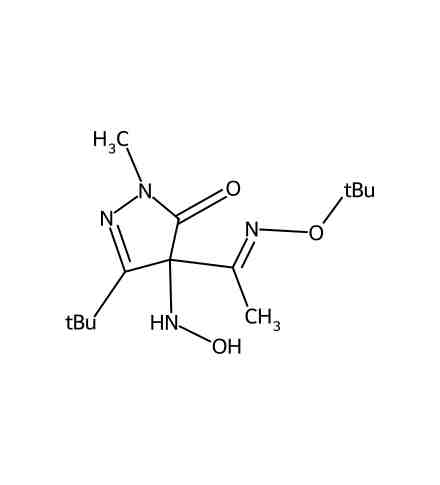 CC(=NOC(C)(C)C)C1(NO)C(=O)N(C)N=C1C(C)(C)C